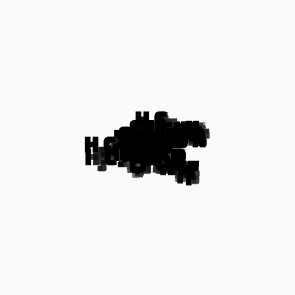 CC[C@H](C)[C@H](N)C(=O)C(C[C@@](N)(C(=O)C(=O)N(CC(=O)NC(=O)[C@H](CC(C)C)NC(=O)c1cnccn1)S(=O)(=O)c1cccc(C(=O)NCC(F)(F)F)c1)C1CCCCC1)C(=O)[C@H](C)N